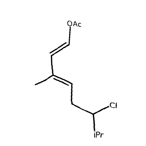 CC(=O)OC=CC(C)=CCC(Cl)C(C)C